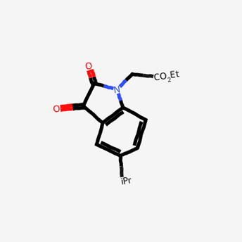 CCOC(=O)CN1C(=O)C(=O)c2cc(C(C)C)ccc21